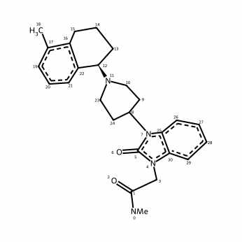 CNC(=O)Cn1c(=O)n(C2CCN([C@@H]3CCCc4c(C)cccc43)CC2)c2ccccc21